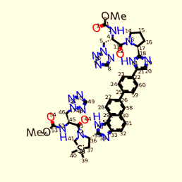 COC(=O)N[C@@H](Cn1ncnn1)C(=O)N1CCC[C@H]1c1ncc(-c2ccc(-c3ccc4c(ccc5nc([C@@H]6C[Si](C)(C)CN6C(=O)[C@H](Cn6ncnn6)NC(=O)OC)[nH]c54)c3)cc2)[nH]1